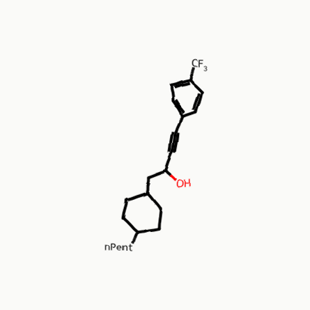 CCCCCC1CCC(CC(O)C#Cc2ccc(C(F)(F)F)cc2)CC1